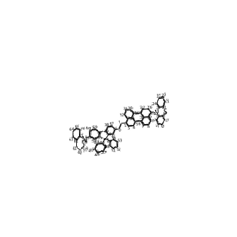 C(=C\c1ccc2c3cccc4c(N5c6ccccc6Sc6ccccc65)ccc(c5cccc1c25)c43)/c1ccc2c(c1)C(c1ccccc1)(c1ccccc1)c1cc(N3CCCc4ccccc43)ccc1-2